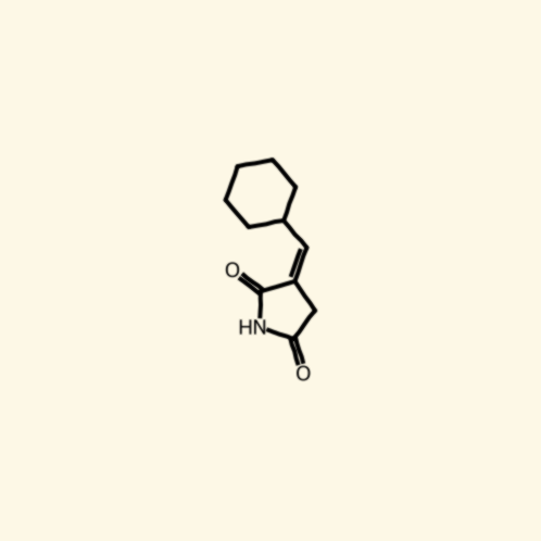 O=C1CC(=CC2CCCCC2)C(=O)N1